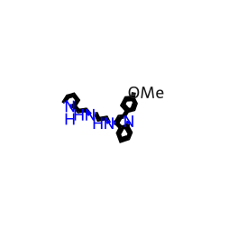 COc1ccc(-c2cc(NCCCNCCC3CCCCN3)c3ccccc3n2)cc1